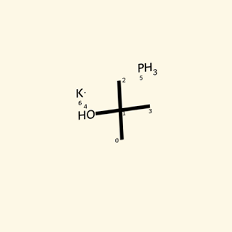 CC(C)(C)O.P.[K]